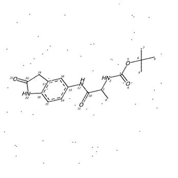 CC(NC(=O)OC(C)(C)C)C(=O)Nc1ccc2c(c1)CC(=O)N2